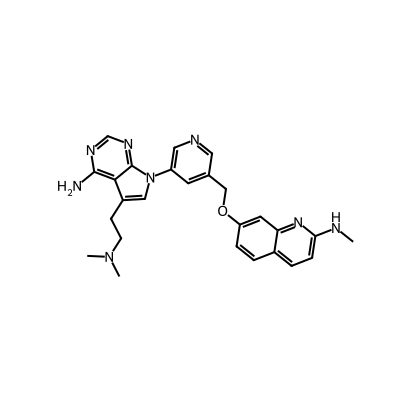 CNc1ccc2ccc(OCc3cncc(-n4cc(CCN(C)C)c5c(N)ncnc54)c3)cc2n1